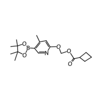 Cc1cc(OCOC(=O)C2CCC2)ncc1B1OC(C)(C)C(C)(C)O1